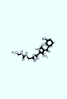 CCNC(=O)NCc1nnc(-c2[nH]c(C)c(C(=O)c3cccc(Br)c3)c2C)o1